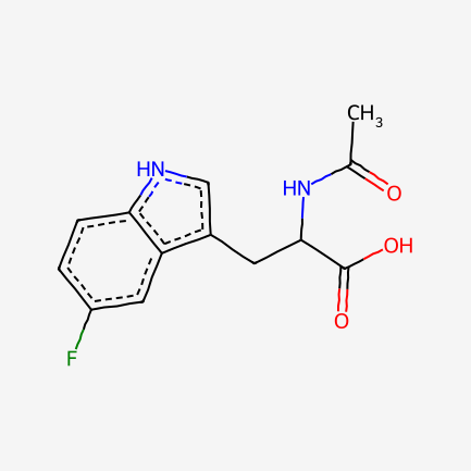 CC(=O)NC(Cc1c[nH]c2ccc(F)cc12)C(=O)O